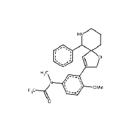 COc1ccc(N(C)C(=O)C(F)(F)F)cc1C1=CC2(CCCNC2c2ccccc2)OC1